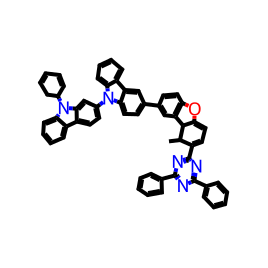 CC1C(c2nc(-c3ccccc3)nc(-c3ccccc3)n2)=CC=C2Oc3ccc(-c4ccc5c(c4)c4ccccc4n5-c4ccc5c6ccccc6n(C6C=CC=CC6)c5c4)cc3C21